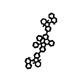 CC12CCCCC1(C)N(c1nccc3ccccc13)c1ccc(-c3ccc4c(c3)C(c3ccccc3)(c3ccccc3)c3c-4c4ccccc4c4cc(-c5ccc6c(c5)C5(C)CCCCC5(C)N6c5nccc6ccccc56)ccc34)cc12